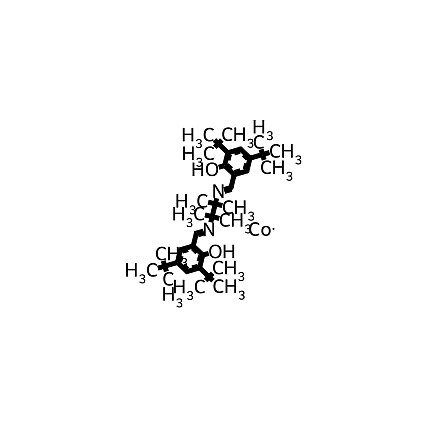 CC(C)(C)c1cc(C=NC(C)(C)C(C)(C)N=Cc2cc(C(C)(C)C)cc(C(C)(C)C)c2O)c(O)c(C(C)(C)C)c1.[Co]